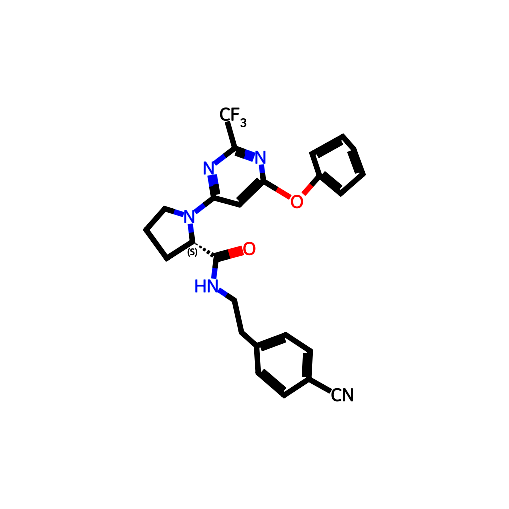 N#Cc1ccc(CCNC(=O)[C@@H]2CCCN2c2cc(Oc3ccccc3)nc(C(F)(F)F)n2)cc1